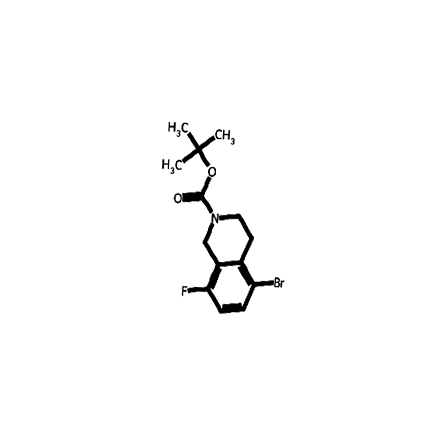 CC(C)(C)OC(=O)N1CCc2c(Br)ccc(F)c2C1